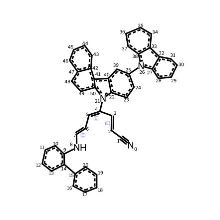 N#C/C=C/C(=C\C=C\Nc1ccccc1-c1ccccc1)n1c2ccc(-n3c4ccccc4c4ccccc43)cc2c2c3ccccc3ccc21